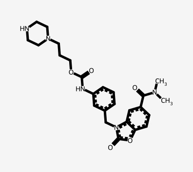 CN(C)C(=O)c1ccc2oc(=O)n(Cc3cccc(NC(=O)OCCCN4CCNCC4)c3)c2c1